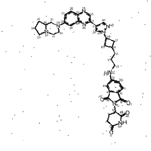 O=C1CCC(N2C(=O)c3ccc(NCCCC4CC(n5cc(-c6cnc7ccc(N8CCN9CCCC9C8)cc7n6)cn5)C4)cc3C2=O)C(=O)N1